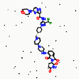 O=C1CCC(N2C(=O)c3cccc(NC4CCN(C5CCN(C[C@H]6CC[C@H](n7cc(NC(=O)c8cnn9ccc(N%10CCOCC%10)nc89)c(C(F)F)n7)CC6)CC5)CC4)c3C2=O)C(=O)N1